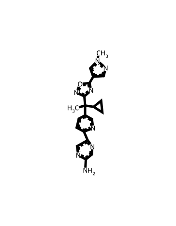 Cn1cc(-c2nc(C(C)(c3ccc(-c4cnc(N)cn4)nc3)C3CC3)no2)cn1